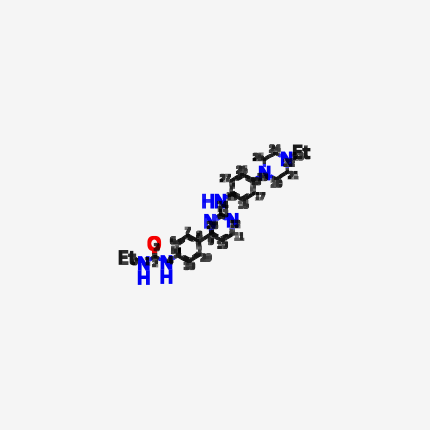 CCNC(=O)Nc1ccc(-c2ccnc(Nc3ccc(N4CCN(CC)CC4)cc3)n2)cc1